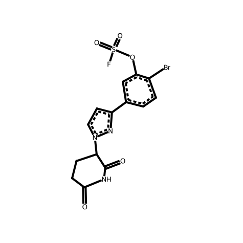 O=C1CCC(n2ccc(-c3ccc(Br)c(OS(=O)(=O)F)c3)n2)C(=O)N1